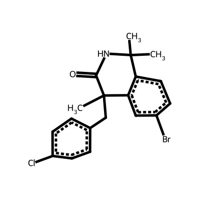 CC1(C)NC(=O)C(C)(Cc2ccc(Cl)cc2)c2cc(Br)ccc21